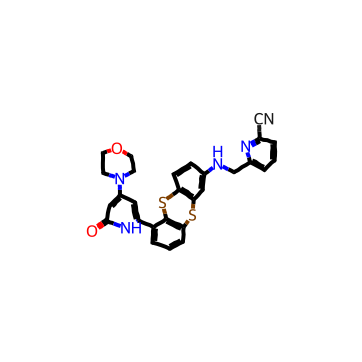 N#Cc1cccc(CNc2ccc3c(c2)Sc2cccc(-c4cc(N5CCOCC5)cc(=O)[nH]4)c2S3)n1